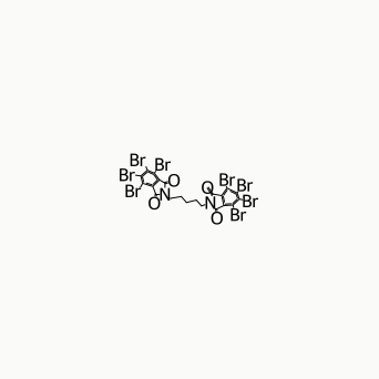 O=C1c2c(Br)c(Br)c(Br)c(Br)c2C(=O)N1CCCCCN1C(=O)c2c(Br)c(Br)c(Br)c(Br)c2C1=O